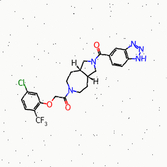 O=C(COc1cc(Cl)ccc1C(F)(F)F)N1CC[C@@H]2CN(C(=O)c3ccc4[nH]nnc4c3)C[C@@H]2CC1